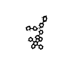 c1ccc(-c2c3c(c(-c4ccccc4)c4ccccc24)-c2ccc(-c4cccc(N(c5ccc(-c6ccccn6)cc5)c5ccc(-c6ccccn6)cc5)c4)c4cccc-3c24)cc1